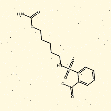 NC(=O)OCCCCCNS(=O)(=O)c1ccccc1[N+](=O)[O-]